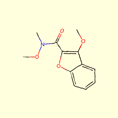 COc1c(C(=O)N(C)OC)oc2ccccc12